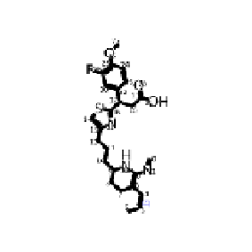 C=NC1=C(/C=C\C)CCC(CCCc2csc(C(CC(=O)O)c3ccc(OC)c(F)c3)n2)N1